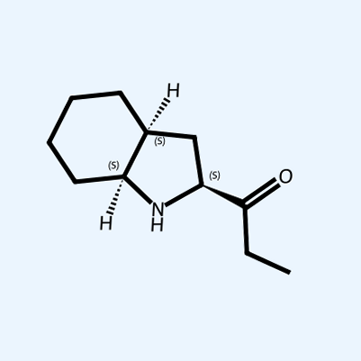 CCC(=O)[C@@H]1C[C@@H]2CCCC[C@@H]2N1